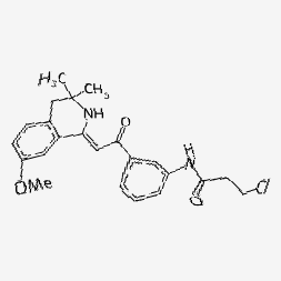 COc1ccc2c(c1)C(=CC(=O)c1cccc(NC(=O)CCCl)c1)NC(C)(C)C2